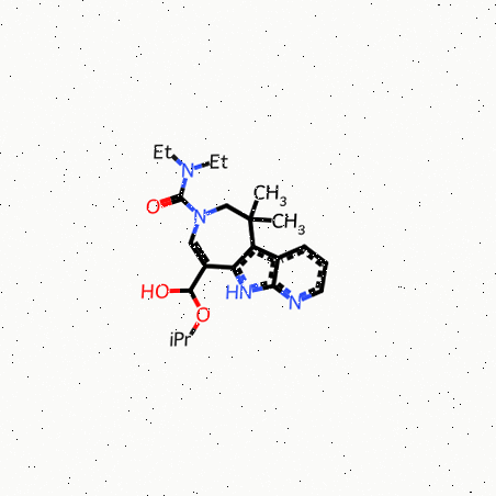 CCN(CC)C(=O)N1C=C(C(O)OC(C)C)c2[nH]c3ncccc3c2C(C)(C)C1